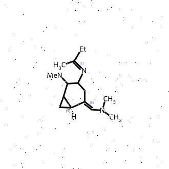 CC/C(C)=N/C1C/C(=C\N(C)C)[C@H]2CC2C1NC